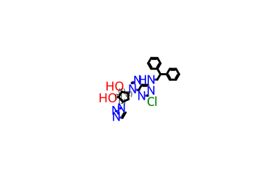 O[C@@H]1[C@H](O)[C@@H](n2ccnn2)C[C@H]1n1cnc2c(NCC(c3ccccc3)c3ccccc3)nc(Cl)nc21